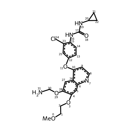 COCCOc1cc2nccc(Oc3ccc(NC(=O)NC4CC4)c(Cl)c3)c2cc1OCN